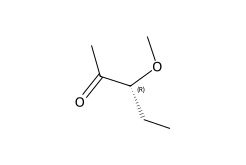 CC[C@@H](OC)C(C)=O